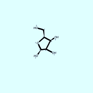 OC[C@@H]1O[C@H](O)C(O)[C@@H]1O